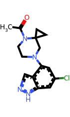 CC(=O)N1CCN(c2cc(Cl)cc3[nH]ncc23)CC12CC2